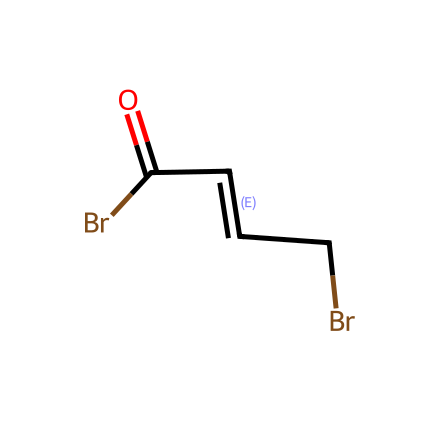 O=C(Br)/C=C/CBr